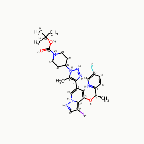 Cc1c(-c2cc(O[C@H](C)c3ccc(F)cn3)c3c(I)cnn3c2)nnn1C1CCN(C(=O)OC(C)(C)C)CC1